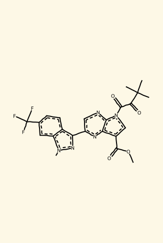 COC(=O)c1cn(C(=O)C(=O)C(C)(C)C)c2ncc(-c3nn(C)c4cc(C(F)(F)F)ccc34)nc12